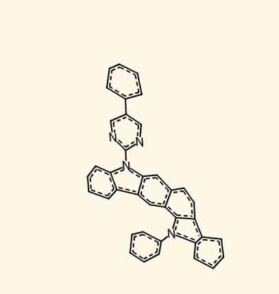 c1ccc(-c2cnc(-n3c4ccccc4c4cc5c(ccc6c7ccccc7n(-c7ccccc7)c56)cc43)nc2)cc1